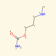 CNCCCOC(N)=O